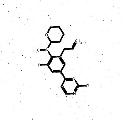 C=CCc1cc(-c2ccnc(Cl)n2)cc(F)c1N(C)C1CCCCO1